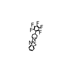 Fc1c(F)c(F)c(C2CCN(c3nc4ccccc4s3)CC2)c(F)c1F